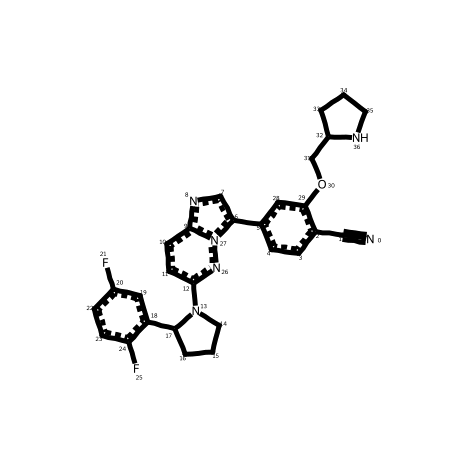 N#Cc1ccc(-c2cnc3ccc(N4CCCC4c4cc(F)ccc4F)nn23)cc1OCC1CCCN1